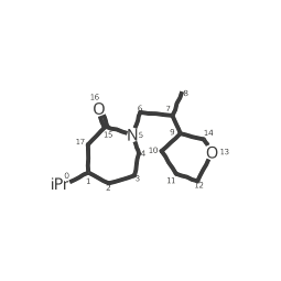 CC(C)C1CCCN(CC(C)C2CCCOC2)C(=O)C1